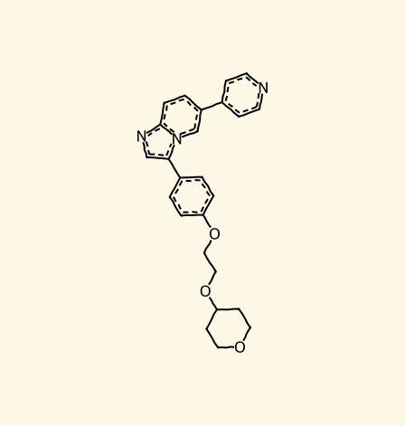 c1cc(-c2ccc3ncc(-c4ccc(OCCOC5CCOCC5)cc4)n3c2)ccn1